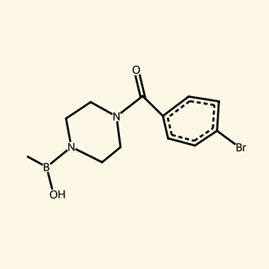 CB(O)N1CCN(C(=O)c2ccc(Br)cc2)CC1